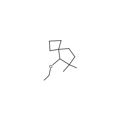 CCOC1C(C)(C)CCC12CCC2